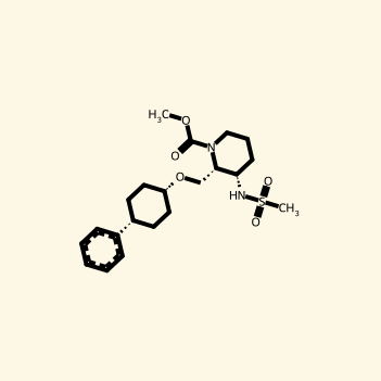 COC(=O)N1CCC[C@H](NS(C)(=O)=O)[C@@H]1CO[C@H]1CC[C@@H](c2ccccc2)CC1